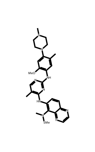 COc1cc(N2CCN(C)CC2)c(C)cc1Nc1ncc(C)c(Nc2ccc3nccnc3c2N(C)SC)n1